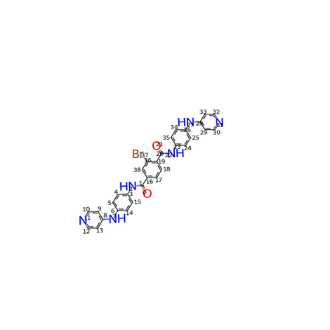 O=C(Nc1ccc(Nc2ccncc2)cc1)c1ccc(C(=O)Nc2ccc(Nc3ccncc3)cc2)c(Br)c1